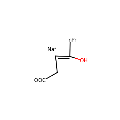 CCCC(O)=CCC(=O)[O-].[Na+]